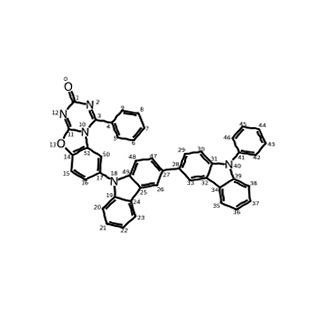 O=c1nc(-c2ccccc2)n2c(n1)oc1ccc(-n3c4ccccc4c4cc(-c5ccc6c(c5)c5ccccc5n6-c5ccccc5)ccc43)cc12